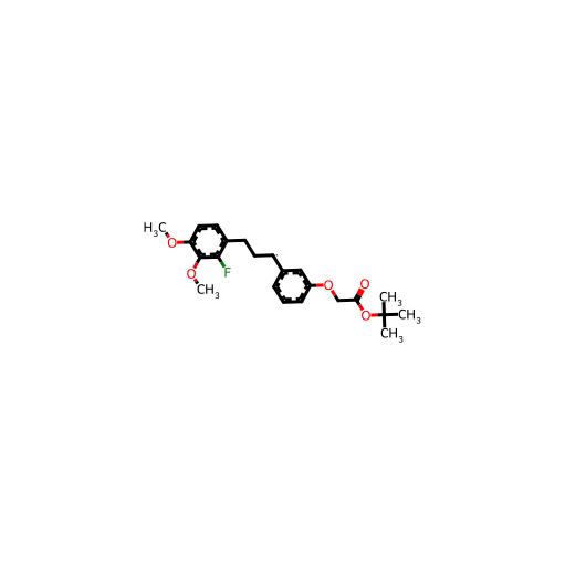 COc1ccc(CC[CH]c2cccc(OCC(=O)OC(C)(C)C)c2)c(F)c1OC